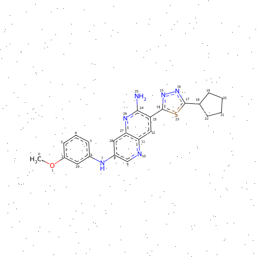 COc1cccc(Nc2cnc3cc(-c4nnc(C5CCCC5)s4)c(N)nc3c2)c1